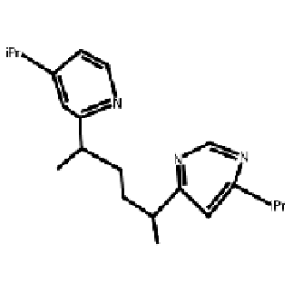 CC(C)c1ccnc(C(C)CCC(C)c2cc(C(C)C)ncn2)c1